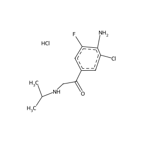 CC(C)NCC(=O)c1cc(F)c(N)c(Cl)c1.Cl